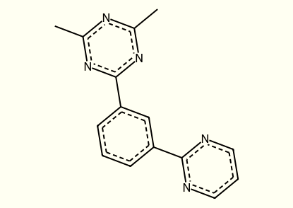 Cc1nc(C)nc(-c2cccc(-c3ncccn3)c2)n1